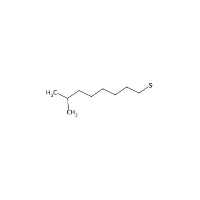 CC(C)CCCCCC[S]